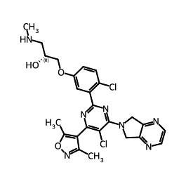 CNC[C@@H](O)COc1ccc(Cl)c(-c2nc(-c3c(C)noc3C)c(Cl)c(N3Cc4nccnc4C3)n2)c1